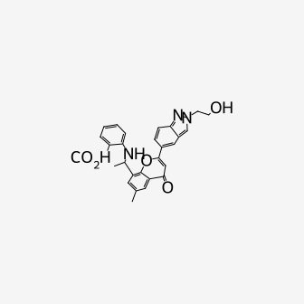 Cc1cc(C(C)Nc2ccccc2C(=O)O)c2oc(-c3ccc4nn(CCO)cc4c3)cc(=O)c2c1